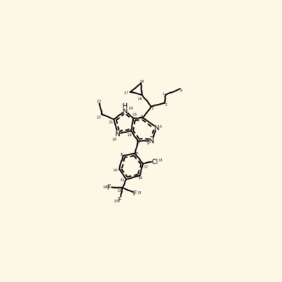 CCCC(c1nnc(-c2ccc(C(F)(F)F)cc2Cl)c2nc(CC)[nH]c12)C1CC1